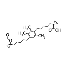 Cc1cc(CCCCCC2(OC=O)CC2)c(C)c(C)c1CCCCCC1(C(=O)O)CC1